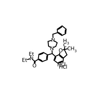 CCN(CC)C(=O)c1ccc(C(c2cccc3c2OC(C)(C)C3)N2CCN(Cc3ccccc3)CC2)cc1.Cl.Cl